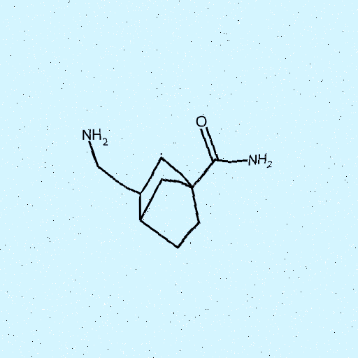 NCC1[CH]C2(C(N)=O)CCC1C2